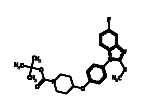 CSc1nc2cc(F)ccc2n1-c1ccc(OC2CCN(C(=O)OC(C)(C)C)CC2)cc1